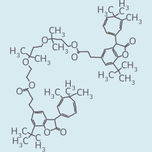 CC1=CC(C2C(=O)Oc3c2cc(CCC(=O)OCCOC(C)(C)CCOC(C)(C)CCOC(=O)CCc2cc4c(c(C(C)(C)C)c2)OC(=O)C4C2=CC=CC(C)(C)C(C)=C2)cc3C(C)(C)C)=CC=CC1(C)C